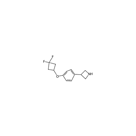 FC1(F)CC(Oc2ccc(C3CNC3)cc2)C1